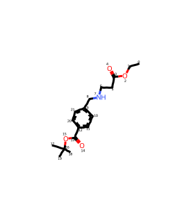 CCOC(=O)CCNCc1ccc(C(=O)OC(C)(C)C)cc1